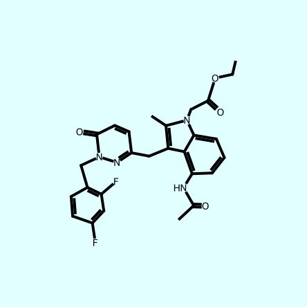 CCOC(=O)Cn1c(C)c(Cc2ccc(=O)n(Cc3ccc(F)cc3F)n2)c2c(NC(C)=O)cccc21